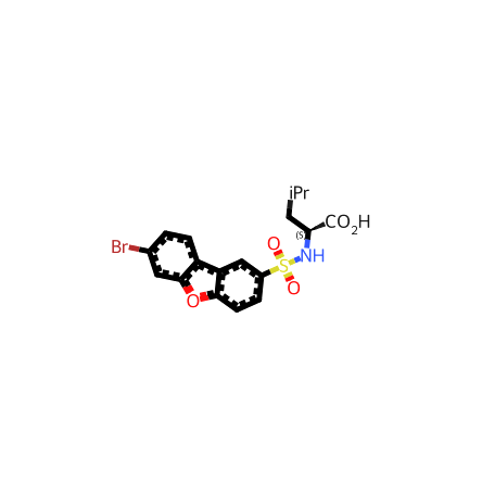 CC(C)C[C@H](NS(=O)(=O)c1ccc2oc3cc(Br)ccc3c2c1)C(=O)O